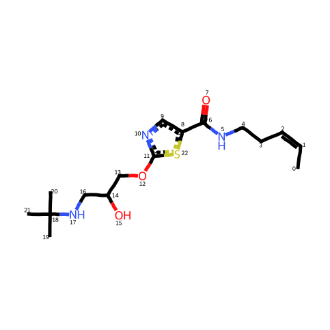 C/C=C\CCNC(=O)c1cnc(OCC(O)CNC(C)(C)C)s1